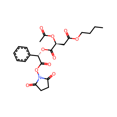 CCCCOC(=O)C[C@H](OC(C)=O)C(=O)O[C@H](C(=O)ON1C(=O)CCC1=O)c1ccccc1